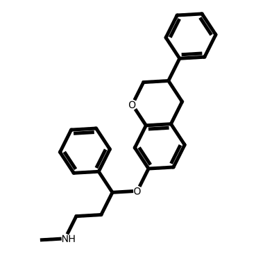 CNCCC(Oc1ccc2c(c1)OCC(c1ccccc1)C2)c1ccccc1